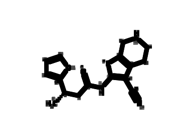 C[C@@H](CC(=O)Nc1sc2c(c1C#N)CCNC2)c1ccco1